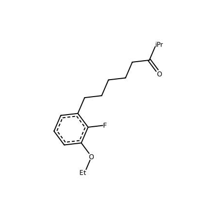 CCOc1cccc(CCCCCC(=O)C(C)C)c1F